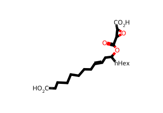 CCCCCCC(CC=CCCCCCCCC(=O)O)OC(=O)C1OC1C(=O)O